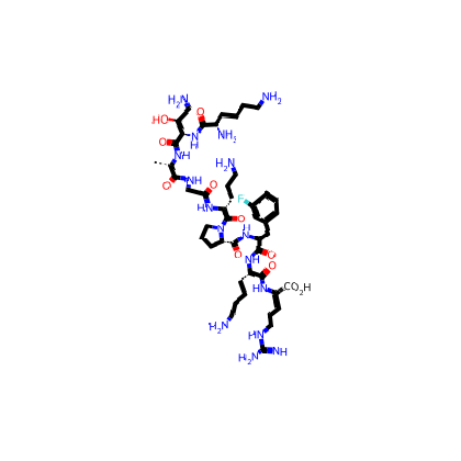 C[C@H](NC(=O)[C@@H](NC(=O)[C@@H](N)CCCCN)[C@@H](O)CN)C(=O)NCC(=O)N[C@H](CCCN)C(=O)N1CCC[C@H]1C(=O)NC(Cc1cccc(F)c1)C(=O)N[C@@H](CCCCN)C(=O)N/C(=C\CCNC(=N)N)C(=O)O